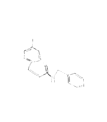 O=C(/C=C\c1ccc(Cl)cc1)NCc1ccccc1